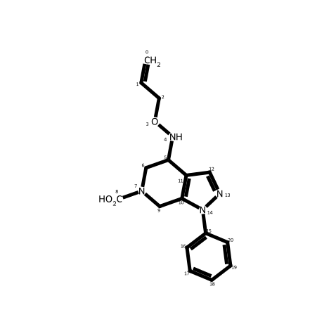 C=CCONC1CN(C(=O)O)Cc2c1cnn2-c1ccccc1